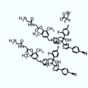 Cc1cc(C[n+]2cnn(C[C@](O)(c3ccc(F)cc3F)[C@@H](C)c3nc(-c4ccc(C#N)cc4)cs3)c2)cc(C)c1OC(=O)CNC(=O)CN.Cc1cc(C[n+]2cnn(C[C@](O)(c3ccc(F)cc3F)[C@@H](C)c3nc(-c4ccc(C#N)cc4)cs3)c2)cc(C)c1OC(=O)CNC(=O)CN.O=C([O-])C(F)(F)F.[Br-]